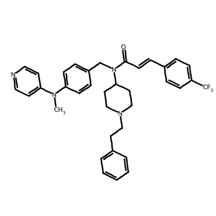 CN(c1ccncc1)c1ccc(CN(C(=O)C=Cc2ccc(C(F)(F)F)cc2)C2CCN(CCc3ccccc3)CC2)cc1